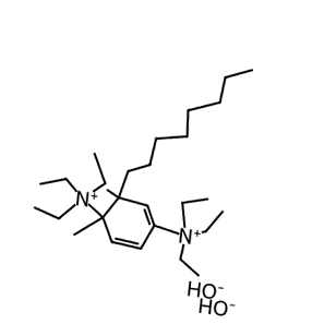 CCCCCCCCC1(C)C=C([N+](CC)(CC)CC)C=CC1(C)[N+](CC)(CC)CC.[OH-].[OH-]